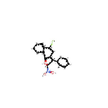 O=[N+]([O-])c1oc2c(cc(F)c3ccccc32)c1-c1ccccc1